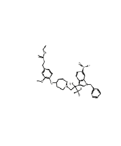 CCOC(=O)CCc1ccc(OC2CCCN(CC(O)(c3cn(Cc4ccccc4)c4cc([N+](=O)[O-])ccc34)C(F)(F)F)CC2)c(OC)c1